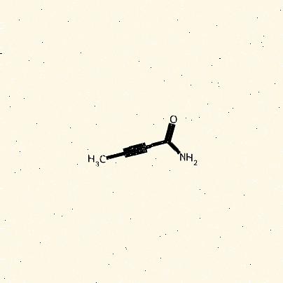 CC#CC(N)=O